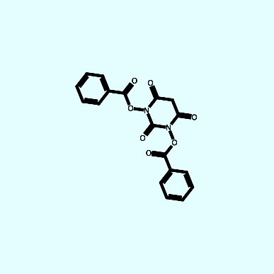 O=C(ON1C(=O)CC(=O)N(OC(=O)c2ccccc2)C1=O)c1ccccc1